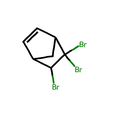 BrC1C2C=CC(C2)C1(Br)Br